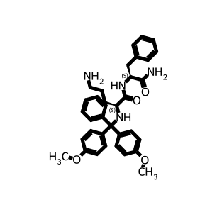 COc1ccc(C(N[C@@H](CCCN)C(=O)N[C@@H](Cc2ccccc2)C(N)=O)(c2ccccc2)c2ccc(OC)cc2)cc1